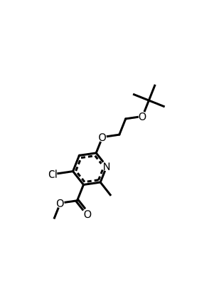 COC(=O)c1c(Cl)cc(OCCOC(C)(C)C)nc1C